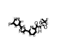 CC(F)(F)S(=O)(=O)NC(=O)c1cccc(-c2cnc(-c3cncc(F)c3)s2)n1